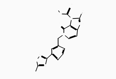 Cc1nc(-c2cccc(Cn3ccc4nc(C(C)C)n(C(=O)OC(C)(C)C)c4c3=O)c2)no1